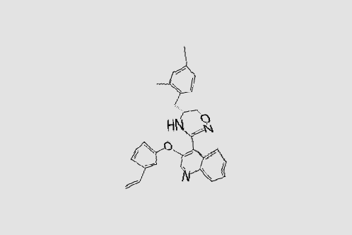 C=Cc1cccc(Oc2cnc3ccccc3c2C2=NOC[C@@H](Cc3ccc(C)cc3C)N2)c1